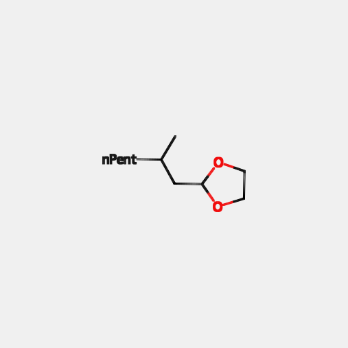 CCCCCC(C)CC1OCCO1